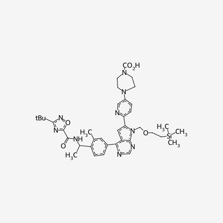 Cc1cc(-c2ncnc3c2cc(-c2ccc(N4CCN(C(=O)O)CC4)cn2)n3COCC[Si](C)(C)C)ccc1C(C)NC(=O)c1nc(C(C)(C)C)no1